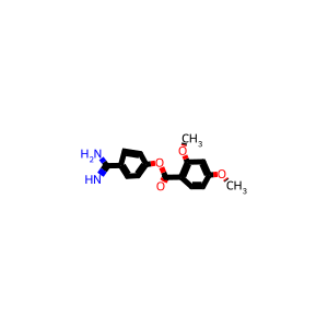 COc1ccc(C(=O)Oc2ccc(C(=N)N)cc2)c(OC)c1